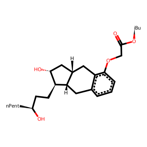 CCCCC[C@H](O)CC[C@@H]1[C@H]2Cc3cccc(OCC(=O)O[C@H](C)CC)c3C[C@H]2C[C@H]1O